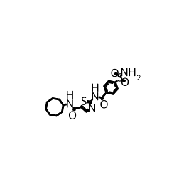 NS(=O)(=O)c1ccc(C(=O)Nc2ncc(C(=O)NC3CCCCCCC3)s2)cc1